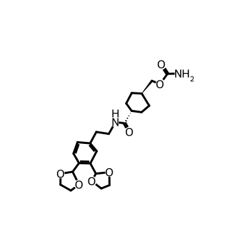 NC(=O)OC[C@H]1CC[C@H](C(=O)NCCc2ccc(C3OCCO3)c(C3OCCO3)c2)CC1